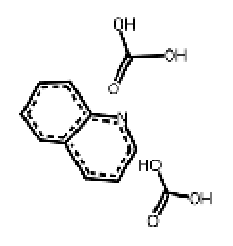 O=C(O)O.O=C(O)O.c1ccc2ncccc2c1